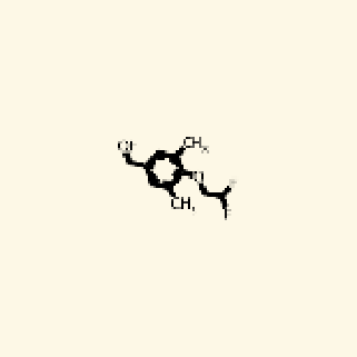 Cc1cc(CO)cc(C)c1OCC(F)F